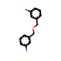 Ic1cccc(COCc2cccc(I)c2)c1